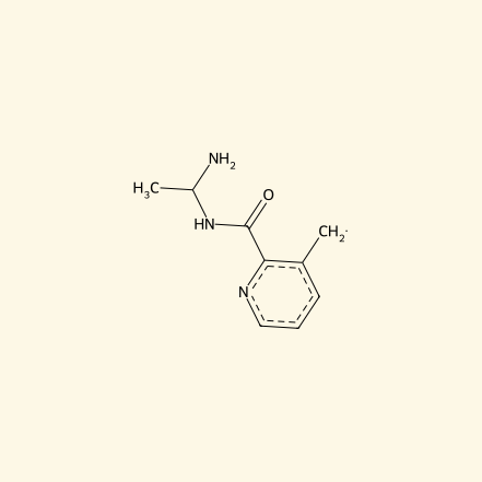 [CH2]c1cccnc1C(=O)NC(C)N